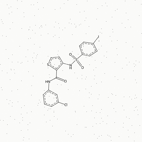 O=C(Nc1cccc(Cl)c1)c1sccc1NS(=O)(=O)c1ccc(I)cc1